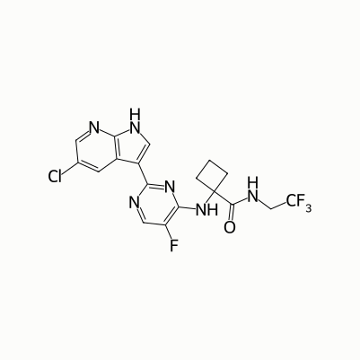 O=C(NCC(F)(F)F)C1(Nc2nc(-c3c[nH]c4ncc(Cl)cc34)ncc2F)CCC1